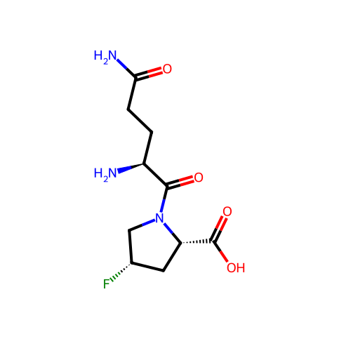 NC(=O)CC[C@H](N)C(=O)N1C[C@@H](F)C[C@H]1C(=O)O